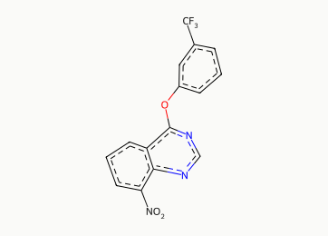 O=[N+]([O-])c1cccc2c(Oc3cccc(C(F)(F)F)c3)ncnc12